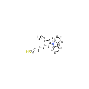 CCCCC(CCCCCCCS)n1c2ccccc2c2ccccc21